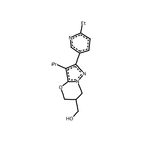 CCc1ccc(-c2nn3c(c2C(C)C)OCC(CO)C3)cn1